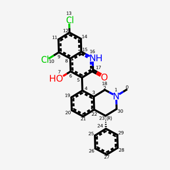 CN1Cc2c(-c3c(O)c4c(Cl)cc(Cl)cc4[nH]c3=O)cccc2[C@@H](c2ccccc2)C1